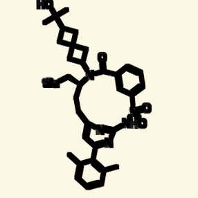 Cc1cccc(C)c1-c1cc2nc(n1)NS(=O)(=O)c1cccc(c1)C(=O)N(C1CC3(C1)CC(C(C)(C)O)C3)[C@H](CC(C)(C)C)CC2